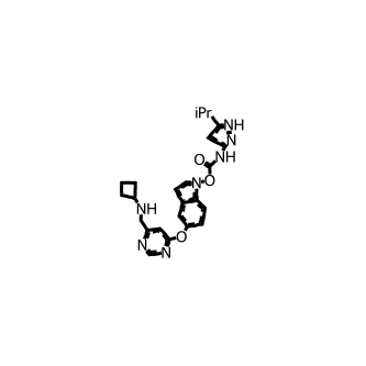 CC(C)c1cc(NC(=O)On2ccc3cc(Oc4cc(CNC5CCC5)ncn4)ccc32)n[nH]1